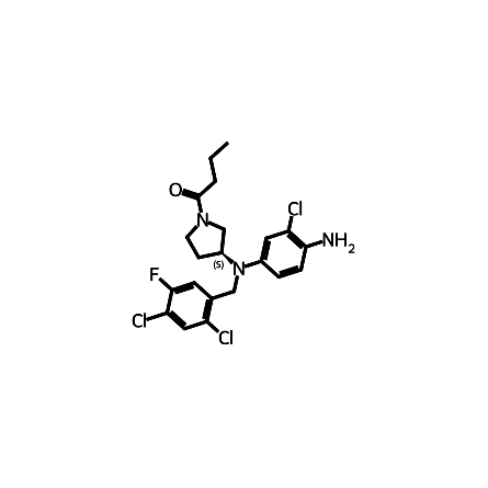 CCCC(=O)N1CC[C@H](N(Cc2cc(F)c(Cl)cc2Cl)c2ccc(N)c(Cl)c2)C1